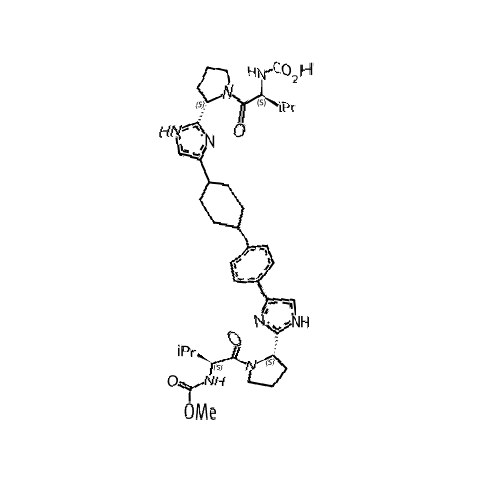 COC(=O)N[C@H](C(=O)N1CCC[C@H]1c1nc(-c2ccc(C3CCC(c4c[nH]c([C@@H]5CCCN5C(=O)[C@@H](NC(=O)O)C(C)C)n4)CC3)cc2)c[nH]1)C(C)C